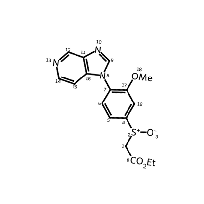 CCOC(=O)C[S+]([O-])c1ccc(-n2cnc3cnccc32)c(OC)c1